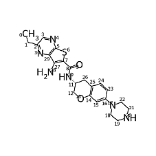 CCc1cnc2sc(C(=O)N[C@H]3COc4cc(N5CCNCC5)ccc4C3)c(N)c2n1